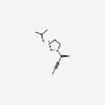 CC#CC(=O)N1CC[C@@H](CC(C)C)C1